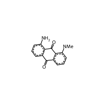 CNc1cccc2c1C(=O)c1c(N)cccc1C2=O